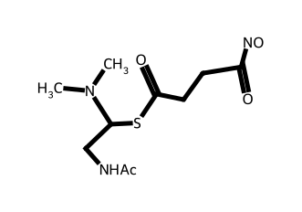 CC(=O)NCC(SC(=O)CCC(=O)N=O)N(C)C